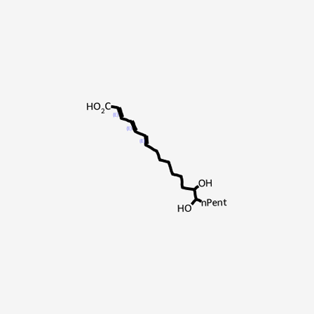 CCCCCC(O)C(O)CCCCCC/C=C/C=C/C=C/C(=O)O